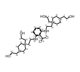 OCCN1CC[N+](CCO)(CCNc2cccc(NCC[N+]3(CCO)CCN(CCO)CC3)c2C(Cl)Cl)CC1